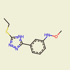 CCSc1nnc(-c2cccc(NOC)c2)[nH]1